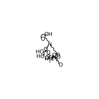 CCC(CO)O[C@@H](OCCN(CCCCCC(=O)ON(C)C(=O)CCC=O)CCCC1OCCCC1O)C(O)CO